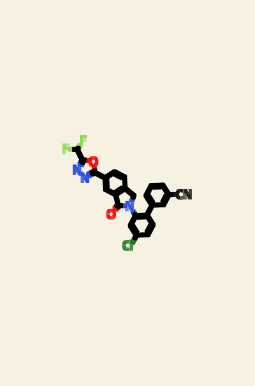 N#Cc1cccc(-c2ccc(Cl)cc2N2Cc3ccc(-c4nnc(C(F)F)o4)cc3C2=O)c1